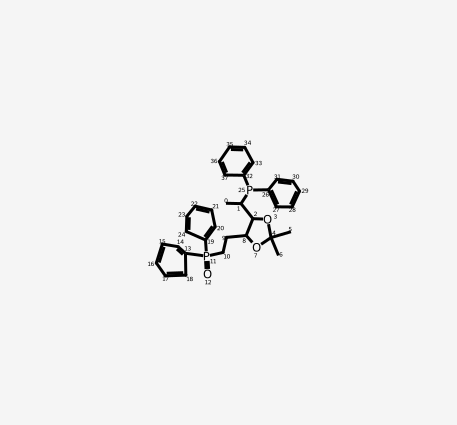 CC(C1OC(C)(C)OC1CCP(=O)(c1ccccc1)c1ccccc1)P(c1ccccc1)c1ccccc1